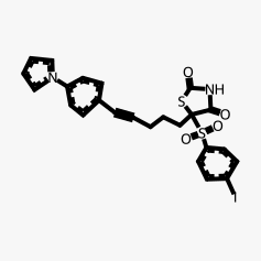 O=C1NC(=O)C(CCCC#Cc2ccc(-n3cccc3)cc2)(S(=O)(=O)c2ccc(I)cc2)S1